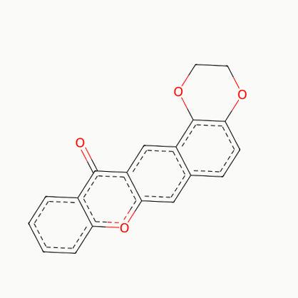 O=c1c2ccccc2oc2cc3ccc4c(c3cc12)OCCO4